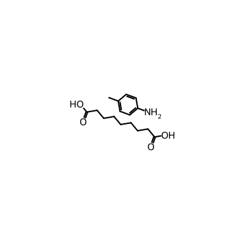 Cc1ccc(N)cc1.O=C(O)CCCCCCCC(=O)O